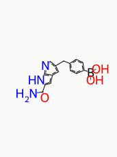 NC(=O)c1cc2cc(Cc3ccc(B(O)O)cc3)cnc2[nH]1